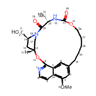 COc1cc2cc3c(nccc13)O[C@@H]1C[C@@H](C(=O)O)N(C1)C(=O)[C@H](C(C)(C)C)NC(=O)OCCCCC2